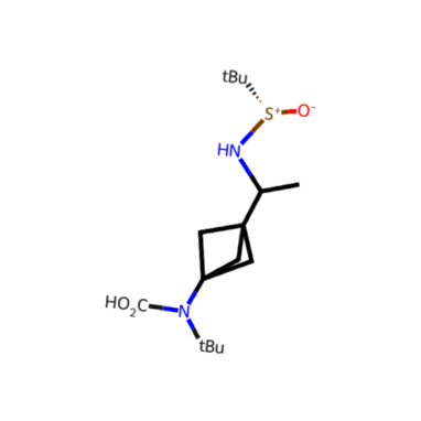 CC(N[S@@+]([O-])C(C)(C)C)C12CC(N(C(=O)O)C(C)(C)C)(C1)C2